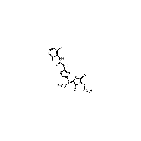 CCOC(=O)C(=C1SC(=S)N(CC(=O)O)C1=O)c1csc(NC(=O)Nc2c(C)cccc2C)n1